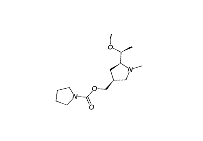 C[C@H](OI)[C@@H]1C[C@H](COC(=O)N2CCCC2)CN1C